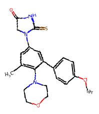 CCCOc1ccc(-c2cc(N3CC(=O)NC3=S)cc(C)c2N2CCOCC2)cc1